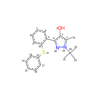 Cc1c(O)c(-c2ccccc2Sc2ccccc2)nn1C(C)(C)C